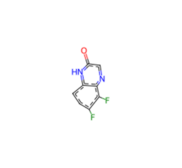 O=c1cnc2c(F)c(F)ccc2[nH]1